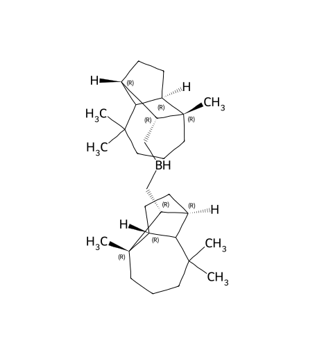 CC1(C)CCC[C@@]2(C)[C@@H]3CC[C@@H](C31)[C@H]2CBC[C@@H]1[C@H]2CC[C@@H]3C2C(C)(C)CCC[C@@]31C